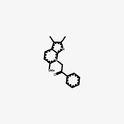 CSc1ccc2c(C)c(C)nc-2n1CC(=O)c1ccccc1